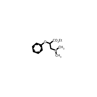 CCOC(=O)C(CN(C)C)Oc1ccccc1